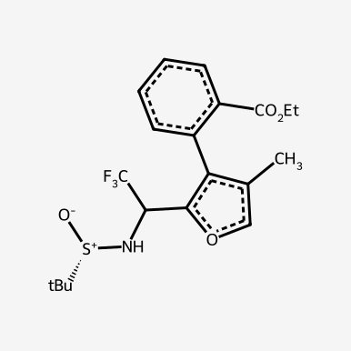 CCOC(=O)c1ccccc1-c1c(C)coc1C(N[S@@+]([O-])C(C)(C)C)C(F)(F)F